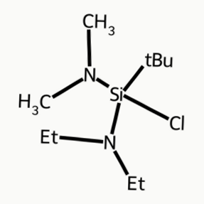 CCN(CC)[Si](Cl)(N(C)C)C(C)(C)C